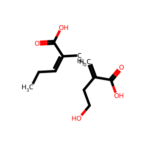 C=C(CCO)C(=O)O.CCC=C(C)C(=O)O